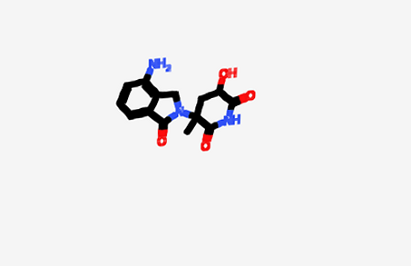 CC1(N2Cc3c(N)cccc3C2=O)CC(O)C(=O)NC1=O